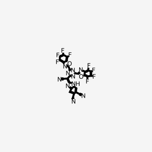 N#CC1=CC2=N/C(=C(\C#N)c3nc(-c4nc5c(F)c(F)c(F)c(F)c5o4)nc(-c4nc5c(F)c(F)c(F)c(F)c5o4)n3)NC2C=C1C#N